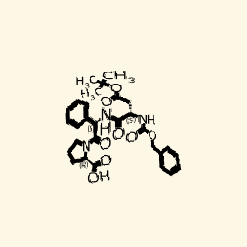 CC(C)(C)OC(=O)C[C@H](NC(=O)OCc1ccccc1)C(=O)N[C@H](C(=O)N1CCC[C@@H]1C(=O)O)c1ccccc1